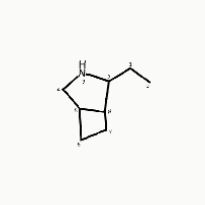 CCC1NCC2CCC21